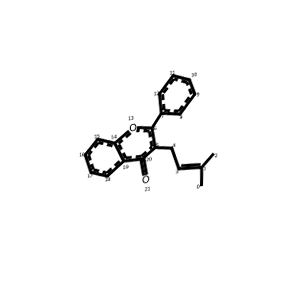 CC(C)=CCc1c(-c2ccccc2)oc2ccccc2c1=O